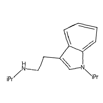 CC(C)NCCc1cn(C(C)C)c2ccccc12